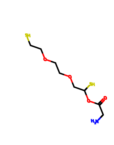 NCC(=O)OC(S)COCCOCCS